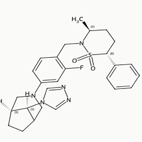 C[C@H]1CC[C@H](c2ccccc2)S(=O)(=O)N1Cc1ccc(N2CC3CC[C@@H](C2)[C@H]3n2cnnc2)cc1F